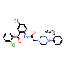 COc1ccccc1N1CCN(CC(=O)Nc2ccc(Cl)cc2C(=O)c2ccccc2Cl)CC1